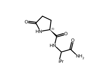 CC(C)C(NC(=O)[C@@H]1CCC(=O)N1)C(N)=O